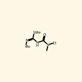 CCC(C)N=C(NC(=O)N(C)CC)SC